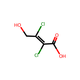 O=C(O)C(Cl)=C(Cl)CO